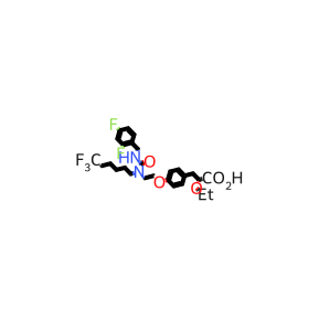 CCOC(Cc1ccc(OCCN(CCCCCC(F)(F)F)C(=O)NCc2ccc(F)cc2F)cc1)C(=O)O